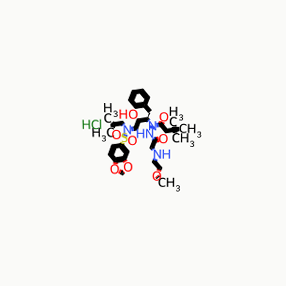 COCCNCC(=O)NN(C(=O)CC(C)(C)C)[C@@H](Cc1ccccc1)[C@H](O)CN(CC(C)C)S(=O)(=O)c1ccc2c(c1)OCO2.Cl